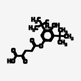 CC(C)(C)c1cc(OC(=O)CCC(=O)C(=O)O)cc(C(C)(C)C)c1O